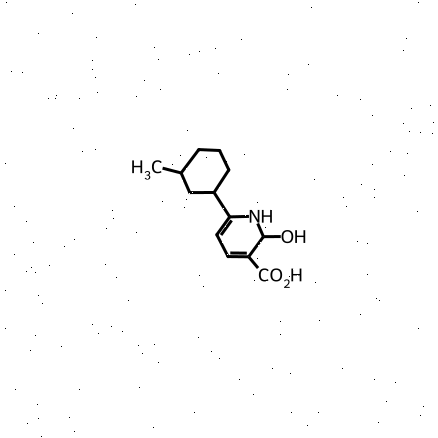 CC1CCCC(C2=CC=C(C(=O)O)C(O)N2)C1